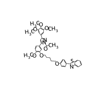 COc1ccc(-c2cc(-c3cc(OC)c(OC)c(OC)c3)nn2C(C)=O)cc1OCCCCCOc1ccc(-c2nc3ccccc3s2)cc1